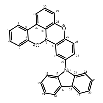 c1ccc2c(c1)OB1c3cc(-n4c5ccccc5c5ccccc54)ccc3Oc3cccc-2c31